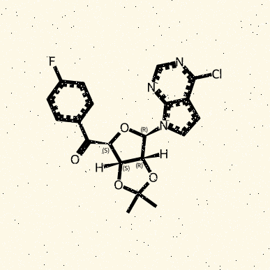 CC1(C)O[C@@H]2[C@H](O1)[C@@H](C(=O)c1ccc(F)cc1)O[C@H]2n1ccc2c(Cl)ncnc21